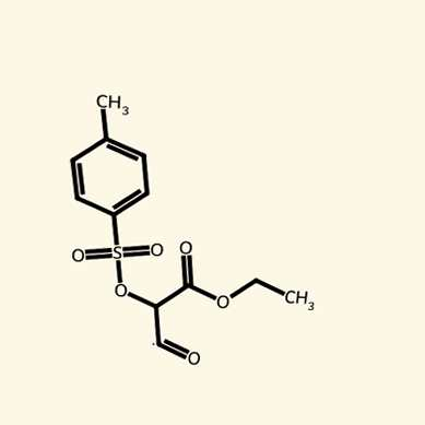 CCOC(=O)C([C]=O)OS(=O)(=O)c1ccc(C)cc1